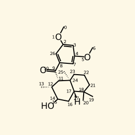 COc1cc(OC)cc(C(=O)[C@H]2[C@@H](C)C(O)C[C@H]3C(C)(C)CCC[C@]23C)c1